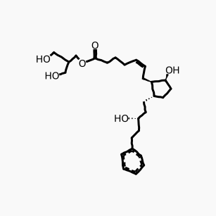 O=C(CCC/C=C\C[C@@H]1[C@@H](CC[C@@H](O)CCc2ccccc2)CC[C@@H]1O)OCC(CO)CO